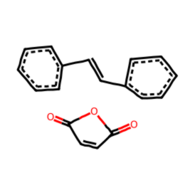 C(=Cc1ccccc1)c1ccccc1.O=C1C=CC(=O)O1